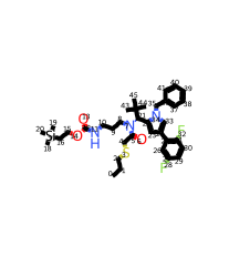 CCCSCC(=O)N(CCCNC(=O)OCC[Si](C)(C)C)[C@@H](c1cc(-c2cc(F)ccc2F)cn1Cc1ccccc1)C(C)(C)C